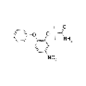 CC(C)(Oc1cc([N+](=O)[O-])ccc1Oc1ccccc1)C(N)=O